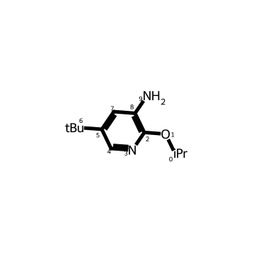 CC(C)Oc1ncc(C(C)(C)C)cc1N